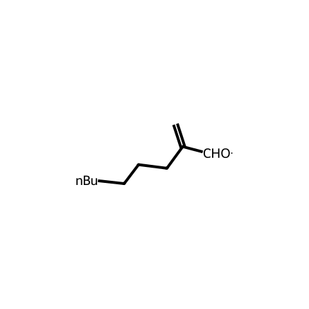 C=C([C]=O)CCCCCCC